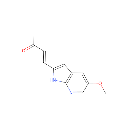 COc1cnc2[nH]c(/C=C/C(C)=O)cc2c1